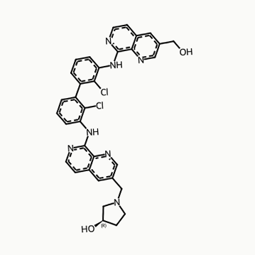 OCc1cnc2c(Nc3cccc(-c4cccc(Nc5nccc6cc(CN7CC[C@@H](O)C7)cnc56)c4Cl)c3Cl)nccc2c1